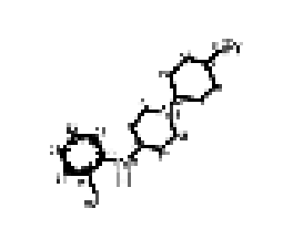 CC(C)C1CCC(N2CCC(Nc3ccccc3I)CC2)CC1